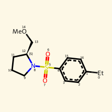 CCc1ccc(S(=O)(=O)N2CCC[C@H]2COC)cc1